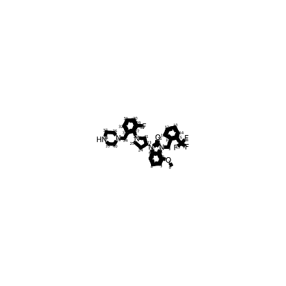 COc1cccc2c1n(Cc1ccccc1C(F)(F)F)c(=O)n2[C@@H]1CCN(c2c(F)cccc2CN2CCNCC2)C1